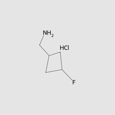 Cl.NCC1CC(F)C1